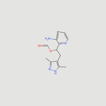 Cc1n[nH]c(C)c1CC(OC=O)c1ncccc1N